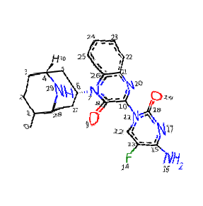 CC1CC[C@@H]2C[C@H](n3c(=O)c(-n4cc(F)c(N)nc4=O)nc4ccccc43)CC1N2